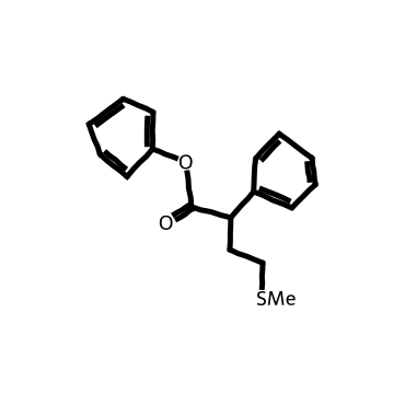 CSCCC(C(=O)Oc1ccccc1)c1ccccc1